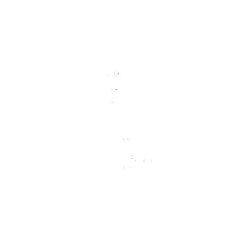 CCCCN(CCCC)c1ccc2c(C)c(/C=C/c3ccc(C(=O)OC)cc3)c(=O)oc2c1